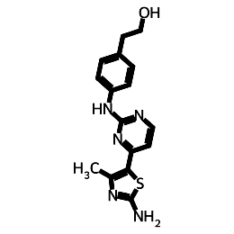 Cc1nc(N)sc1-c1ccnc(Nc2ccc(CCO)cc2)n1